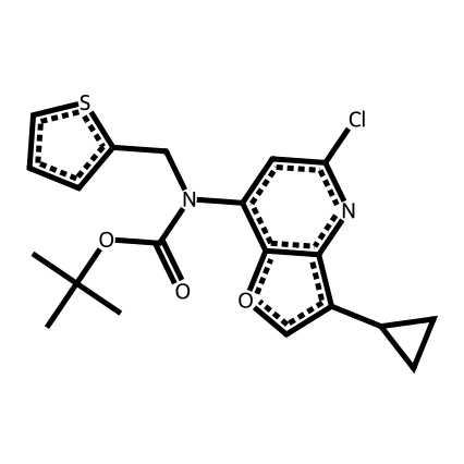 CC(C)(C)OC(=O)N(Cc1cccs1)c1cc(Cl)nc2c(C3CC3)coc12